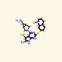 CCc1[nH]c2nc(Sc3ccc4ccc[n+]([O-])c4c3)nc(N3CC4C(N)C4C3)c2c1Cl